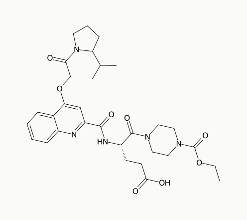 CCOC(=O)N1CCN(C(=O)[C@H](CCC(=O)O)NC(=O)c2cc(OCC(=O)N3CCCC3C(C)C)c3ccccc3n2)CC1